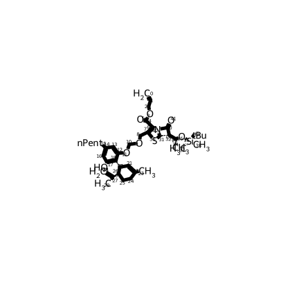 C=CCOC(=O)C1=C(COCOc2cc(CCCCC)cc(O)c2[C@@H]2C=C(C)CC[C@H]2C(=C)C)SC2[C@@H]([C@@H](C)O[Si](C)(C)C(C)(C)C)C(=O)N12